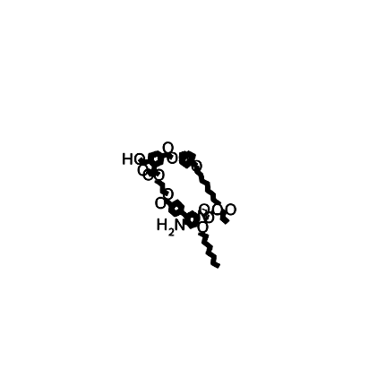 C=CC(=O)OCCCCCCCCOc1ccccc1.CCCCCCCCOc1cc(N)c(-c2ccc(C(=O)OCCCOC(=O)c3cc(C(=O)O)ccc3C(=O)O)cc2)cc1[N+](=O)[O-]